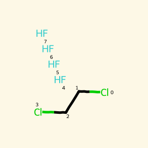 ClCCCl.F.F.F.F